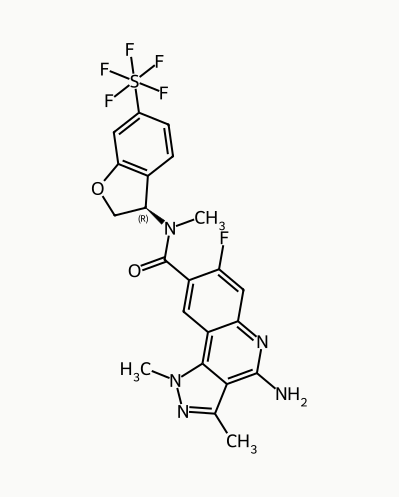 Cc1nn(C)c2c1c(N)nc1cc(F)c(C(=O)N(C)[C@H]3COc4cc(S(F)(F)(F)(F)F)ccc43)cc12